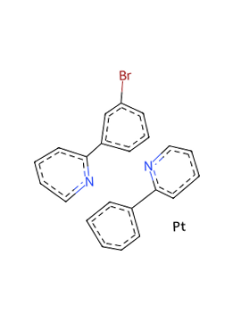 Brc1cccc(-c2ccccn2)c1.[Pt].c1ccc(-c2ccccn2)cc1